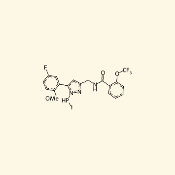 COc1ccc(F)cc1-c1cc(CNC(=O)c2ccccc2OC(F)(F)F)nn1PI